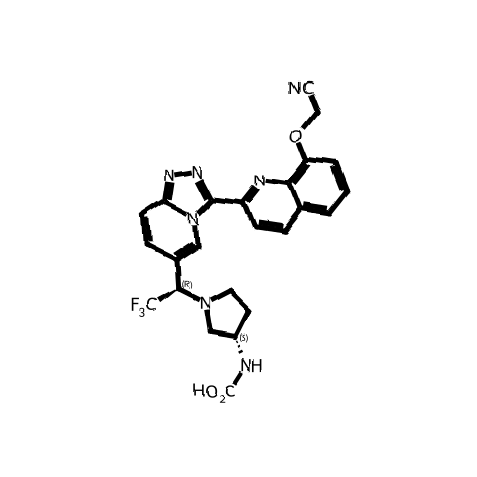 N#CCOc1cccc2ccc(-c3nnc4ccc([C@@H](N5CC[C@H](NC(=O)O)C5)C(F)(F)F)cn34)nc12